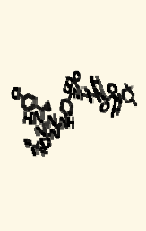 COC(=O)[C@H](CCNC(=O)C(=O)NC1CC(C)CC(C)(C)C1)NC(=O)c1ccc(Nc2nc(NC3(c4ccc(Cl)cc4)CC3)nc(OCC(F)(F)F)n2)cc1